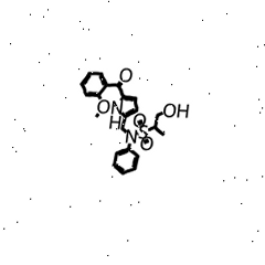 COc1ccccc1C(=O)c1ccc(CN(c2ccccc2)S(=O)(=O)C(C)CO)[nH]1